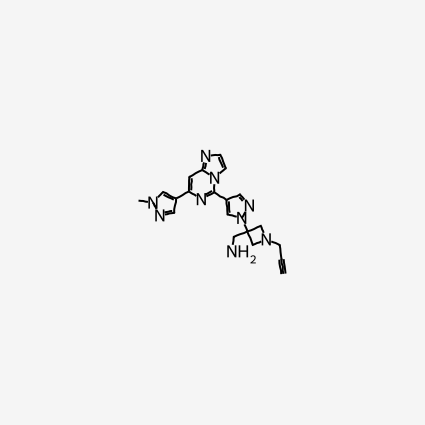 C#CCN1CC(CN)(n2cc(-c3nc(-c4cnn(C)c4)cc4nccn34)cn2)C1